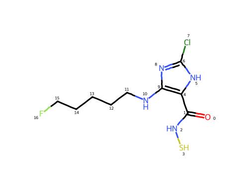 O=C(NS)c1[nH]c(Cl)nc1NCCCCCF